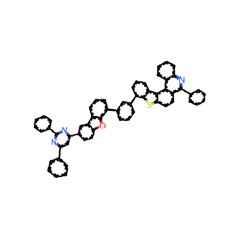 c1ccc(-c2cc(-c3ccc4oc5c(-c6cccc(-c7cccc8c7sc7ccc9c(-c%10ccccc%10)nc%10ccccc%10c9c78)c6)cccc5c4c3)nc(-c3ccccc3)n2)cc1